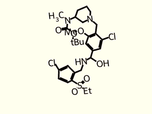 CCS(=O)(=O)c1ccc(Cl)cc1CNC(O)c1cc(Cl)c(CN2CCCC(N(C)C(=O)OC(C)(C)C)C2)c(OC)c1